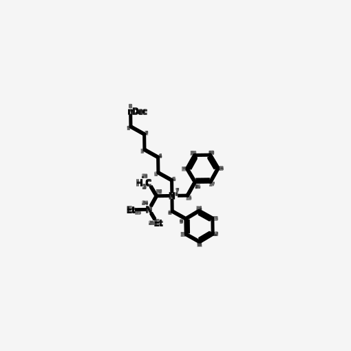 CCCCCCCCCCCCCCCC[N+](Cc1ccccc1)(Cc1ccccc1)C(C)N(CC)CC